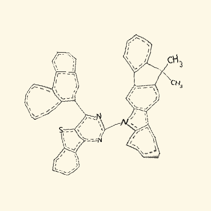 CC1(C)c2ccccc2-c2cc3c(cc21)c1ccccc1n3-c1nc(-c2cc3ccccc3c3ccccc23)c2sc3ccccc3c2n1